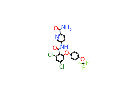 NC(=O)c1ccc(NC(=O)c2c(Cl)cc(Cl)cc2Oc2ccc(OC(F)(F)F)cc2)cn1